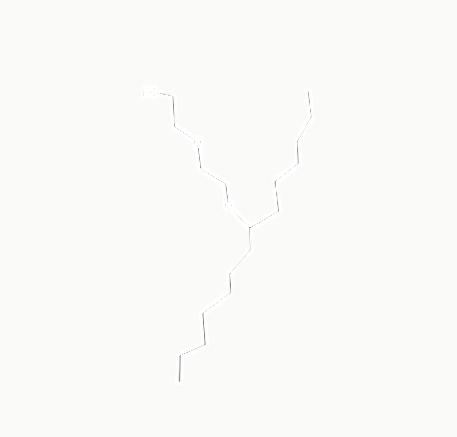 CCCCCCCC(CCCCCC)OCCOCCO